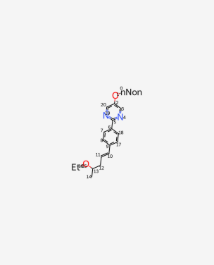 CCCCCCCCCOc1cnc(-c2ccc(C=CCC(C)OCC)cc2)nc1